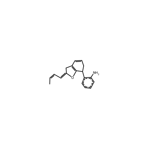 C/C=C\C=C1/CC2=C(O1)C(c1ccccc1N)CC=C2